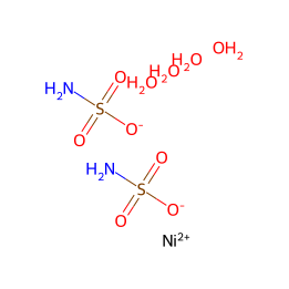 NS(=O)(=O)[O-].NS(=O)(=O)[O-].O.O.O.O.[Ni+2]